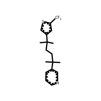 CC(C)(CCC(C)(C)c1csc(C(F)(F)F)c1)c1cccnc1